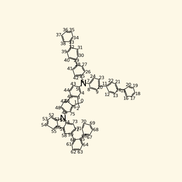 CC1(C)c2cc(N(c3ccc(-c4ccc(-c5ccccc5)cc4)cc3)c3ccc(-c4ccc(-c5ccccc5)cc4)cc3)ccc2-c2ccc(-n3c4ccccc4c4cc(-c5ccccc5-c5ccccc5)ccc43)cc21